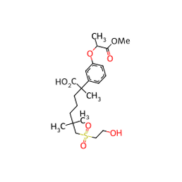 COC(=O)C(C)Oc1cccc(C(C)(CCCC(C)(C)CS(=O)(=O)CCO)C(=O)O)c1